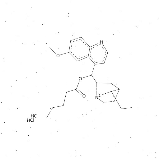 CCCCC(=O)OC(c1ccnc2ccc(OC)cc12)C1CC2CCN1CC2CC.Cl.Cl